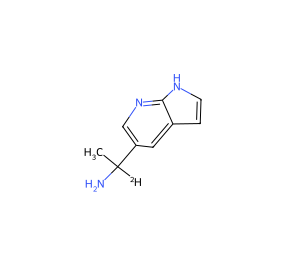 [2H]C(C)(N)c1cnc2[nH]ccc2c1